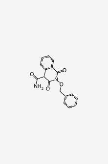 NC(=O)C1C(=O)N(OCc2ccccc2)C(=O)c2ccccc21